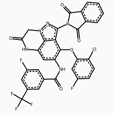 O=C1Cn2nc(N3C(=O)c4ccccc4C3=O)c3c(Oc4cc(F)ccc4Cl)c(NC(=O)c4cc(F)cc(C(F)(F)F)c4)cc(c32)N1